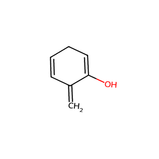 C=C1C=CCC=C1O